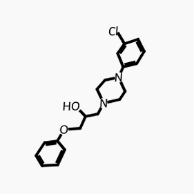 OC(COc1ccccc1)CN1CCN(c2cccc(Cl)c2)CC1